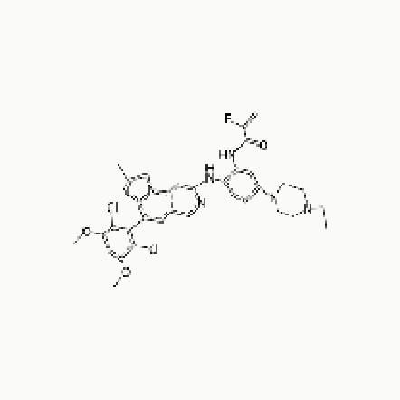 C=C(F)C(=O)Nc1cc(N2CCN(CC)CC2)ccc1Nc1cc2c(cn1)cc(-c1c(Cl)c(OC)cc(OC)c1Cl)c1nc(C)cn12